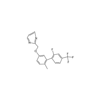 Cc1ccc(OCc2ncccn2)cc1-c1ccc(C(F)(F)F)cc1F